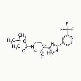 CC(C)(C)OC(=O)N1CC[C@@H](c2nc(-c3ccnc(C(F)(F)F)c3)c[nH]2)[C@@H](F)C1